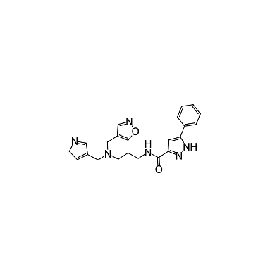 O=C(NCCCN(CC1=CCN=C1)Cc1cnoc1)c1cc(-c2ccccc2)[nH]n1